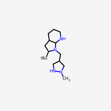 CN1CC(CN2C3NCCCC3CC2C(C)(C)C)CN1